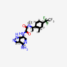 CCN(C(=O)C(=O)Nc1cnc(N)c2cn[nH]c12)C(C)c1ccc(C(F)(F)C(F)(F)F)cc1C